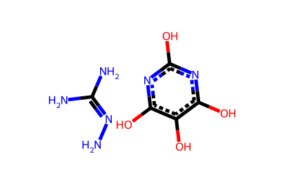 NN=C(N)N.Oc1nc(O)c(O)c(O)n1